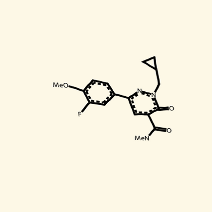 CNC(=O)c1cc(-c2ccc(OC)c(F)c2)nn(CC2CC2)c1=O